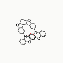 c1ccc2c(c1)Oc1ccccc1N2c1ccc2oc3ccc4oc5ccc(N6c7ccccc7Oc7ccccc76)cc5c4c3c2c1